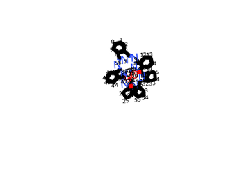 c1ccc2c(c1)C1=NC/2=N\c2c3ccccc3c3n2[Si](OCC2CC4CCC2C4)(OCC2CC4CCC2C4)n2/c(c4ccccc4/c2=N/C2=NC(=N\3)/c3ccccc32)=N\1